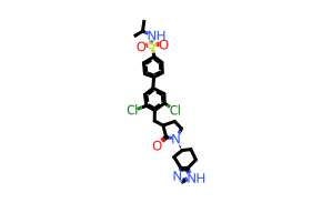 CC(C)NS(=O)(=O)c1ccc(-c2cc(Cl)c(CC3CCN([C@@H]4CCc5[nH]cnc5C4)C3=O)c(Cl)c2)cc1